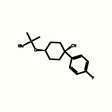 CC(C)(C)[Si](C)(C)O[C@H]1CC[C@](C#N)(c2ccc(F)cc2)CC1